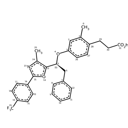 Cc1cc(O[C@@H](Cc2ccccc2)c2oc(-c3ccc(C(F)(F)F)cc3)nc2C)ccc1CCC(=O)O